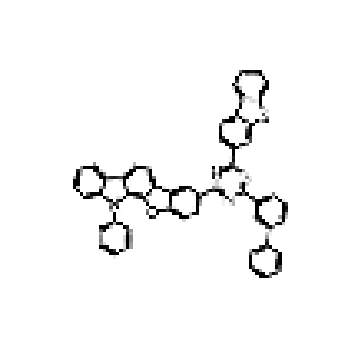 c1ccc(-c2cccc(-c3nc(-c4ccc5c(c4)sc4ccccc45)nc(-c4ccc5oc6c(ccc7c8ccccc8n(-c8ccccc8)c76)c5c4)n3)c2)cc1